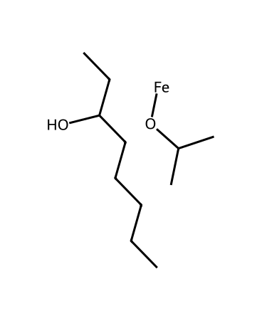 CC(C)[O][Fe].CCCCCC(O)CC